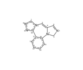 C1=NCN2C1=Cn1cnnc1-c1ccccc12